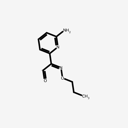 CCCON=C([C]=O)c1cccc(N)n1